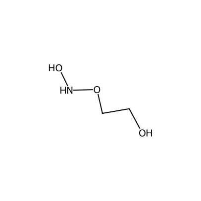 OCCONO